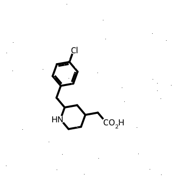 O=C(O)CC1CCNC(Cc2ccc(Cl)cc2)C1